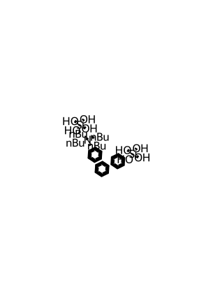 CCCC[N+](CCCC)(CCCC)CCCC.O[Si](O)(O)O.O[Si](O)(O)O.c1ccccc1.c1ccccc1.c1ccccc1